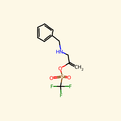 C=C(CNCc1ccccc1)OS(=O)(=O)C(F)(F)F